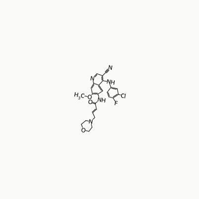 COc1cc2ncc(C#N)c(Nc3ccc(F)c(Cl)c3)c2cc1NC(=O)C=CCN1CCOCC1